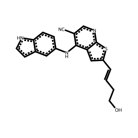 N#Cc1cnc2sc(C=CCCO)cc2c1Nc1ccc2[nH]ccc2c1